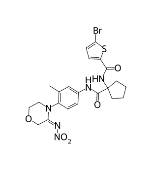 Cc1cc(NC(=O)C2(NC(=O)c3ccc(Br)s3)CCCC2)ccc1N1CCOCC1=N[N+](=O)[O-]